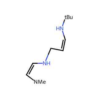 CN/C=C\NC/C=C\NC(C)(C)C